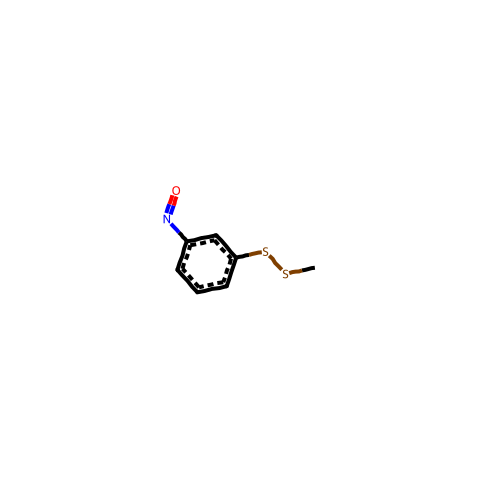 CSSc1cccc(N=O)c1